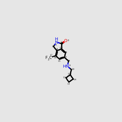 O=C1NCc2c1cc(CNCC1CCC1)cc2C(F)(F)F